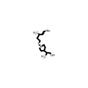 CCCCC=CC(C)CCSN1CCC(C(C)CO)CC1